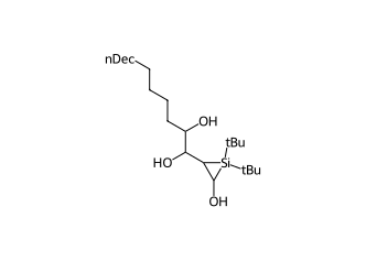 CCCCCCCCCCCCCCC(O)C(O)C1C(O)[Si]1(C(C)(C)C)C(C)(C)C